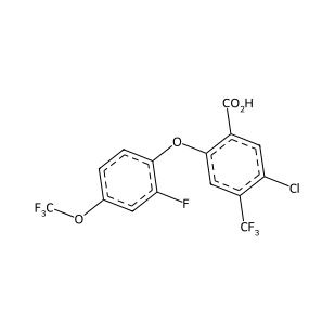 O=C(O)c1cc(Cl)c(C(F)(F)F)cc1Oc1ccc(OC(F)(F)F)cc1F